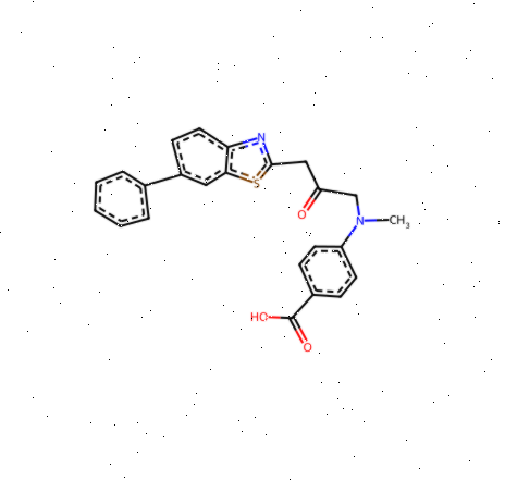 CN(CC(=O)Cc1nc2ccc(-c3ccccc3)cc2s1)c1ccc(C(=O)O)cc1